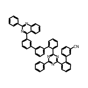 N#Cc1cccc(-c2ccccc2-c2nc(-c3ccccc3)nc(-c3ccccc3-c3cccc(-c4cccc(-c5nc(-c6ccccc6)nc6ccccc56)c4)c3)n2)c1